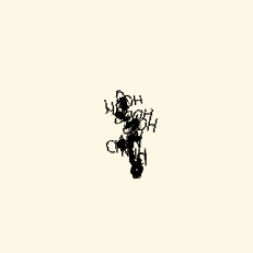 CO[P@@](=O)(CP(=O)(O)O)OC[C@H]1O[C@@H](n2nnc3c(NCc4ccccc4Cl)nc(Cl)nc32)[C@H](O)[C@@H]1O